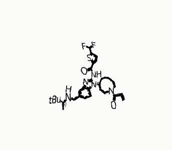 C=CC(=O)N1CCCC[C@@H](n2c(NC(=O)c3ccc(C(F)F)s3)nc3cc(CN[C@@H](C)C(C)(C)C)ccc32)CC1